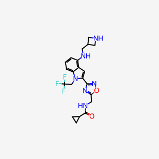 O=C(NCc1nc(-c2cc3c(NCC4CNC4)cccc3n2CC(F)(F)F)no1)C1CC1